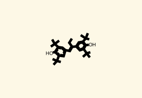 CCC(=Cc1cc(C(C)(C)C)c(O)c(C(C)(C)C)c1)c1cc(C(C)(C)C)c(O)c(C(C)(C)C)c1